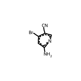 N#Cc1cnc(N)cc1Br